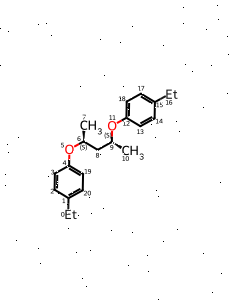 CCc1ccc(O[C@@H](C)C[C@H](C)Oc2ccc(CC)cc2)cc1